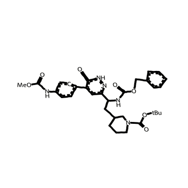 COC(=O)Nc1ccc(-c2cc(C(CC3CCCN(C(=O)OC(C)(C)C)C3)NC(=O)OCc3ccccc3)n[nH]c2=O)cc1